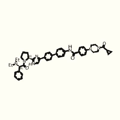 CCN(CC)[C@@H](C(=O)N1CCC[C@H]1c1nc(-c2ccc(-c3ccc(NC(=O)c4ccc(N5CCN(C(=O)C6CC6)CC5)cc4)cc3)cc2)c[nH]1)c1ccccc1